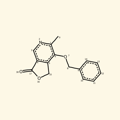 Cc1ncc2c(c1OCc1ccccc1)COC2=O